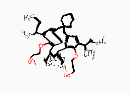 CCC(C)c1cc(C2(c3cc(C(C)CC)c(OCCO)c(C(C)CC)c3)CCCCC2)cc(C(C)CC)c1OCCO